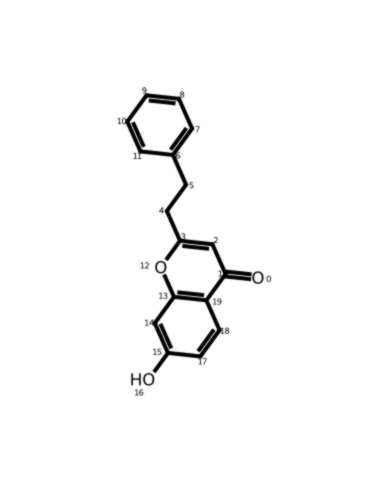 O=c1cc(CCc2ccccc2)oc2cc(O)ccc12